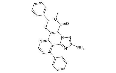 COC(=O)c1c(OCc2ccccc2)c2nccc(-c3ccccc3)c2c2nc(N)nn12